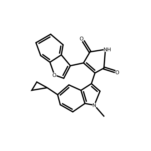 Cn1cc(C2=C(c3coc4ccccc34)C(=O)NC2=O)c2cc(C3CC3)ccc21